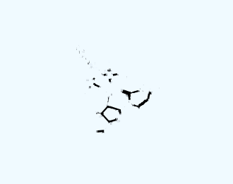 O=P([O-])([O-])OP(=O)([O-])[O-].O=c1ccn([C@@H]2O[C@H](CO)[C@@H](O)[C@H]2O)c(=O)[nH]1.[Na+].[Na+].[Na+].[Na+]